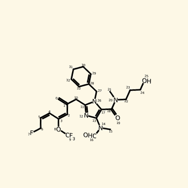 C=C(/C=C(\C=C/CF)OC(F)(F)F)Cc1nc(N(C)C=O)c(C(=O)N(C)CCCO)n1CC1=CCCC=C1